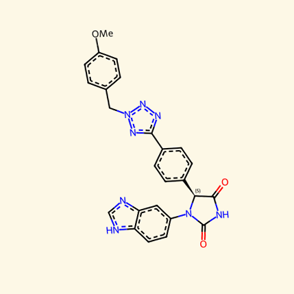 COc1ccc(Cn2nnc(-c3ccc([C@H]4C(=O)NC(=O)N4c4ccc5[nH]cnc5c4)cc3)n2)cc1